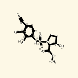 COC(=O)C1[C@H](O)CCN1S(=O)(=O)Nc1ccc(C#N)c(Cl)c1C